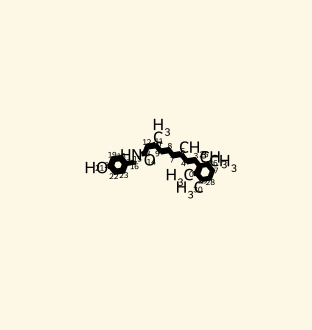 CC1=C(/C=C/C(C)=C/C=C/C(C)=C\C(=O)NCc2ccc(O)cc2)C(C)(C)CCC1C